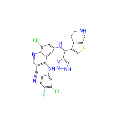 N#Cc1cnc2c(Cl)cc(NC(c3c[nH]nn3)c3csc4c3CCNC4)cc2c1Nc1ccc(F)c(Cl)c1